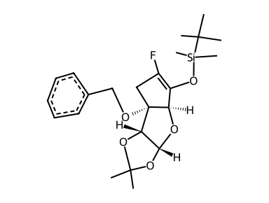 CC1(C)O[C@H]2O[C@@H]3C(O[Si](C)(C)C(C)(C)C)=C(F)C[C@]3(OCc3ccccc3)[C@H]2O1